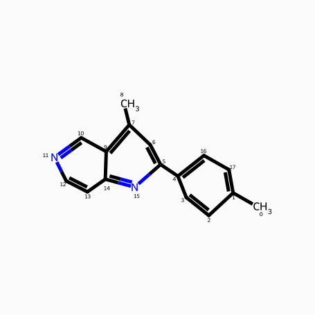 Cc1ccc(-c2cc(C)c3cnccc3n2)cc1